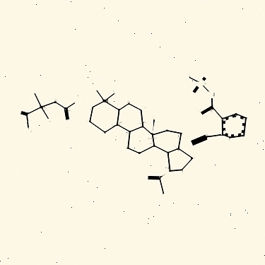 C=C(C)[C@@H]1CC[C@]2(C#Cc3ccccc3C(=O)NS(C)(=O)=O)CC[C@]3(C)C(CCC4[C@@]5(C)CC[C@H](OC(=O)CC(C)(C)C(=O)O)C(C)(C)C5CC[C@]43C)C12